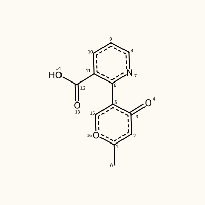 Cc1cc(=O)c(-c2ncccc2C(=O)O)co1